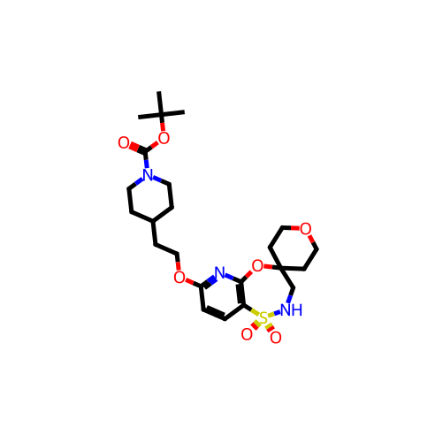 CC(C)(C)OC(=O)N1CCC(CCOc2ccc3c(n2)OC2(CCOCC2)CNS3(=O)=O)CC1